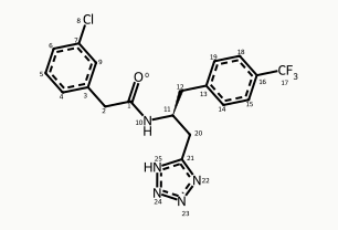 O=C(Cc1cccc(Cl)c1)N[C@@H](Cc1ccc(C(F)(F)F)cc1)Cc1nnn[nH]1